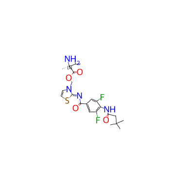 CC(C)[C@](C)(N)C(=O)OCn1ccsc1=NC(=O)c1cc(F)c(NC(=O)CC(C)(C)C)c(F)c1